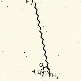 CCCCCCCCCCCCCCCCCCCCCCC(=CN(C)C)C(=O)OC